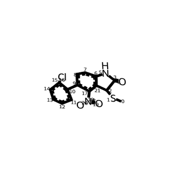 CSC1C(=O)Nc2ccc(-c3ccccc3Cl)c([N+](=O)[O-])c21